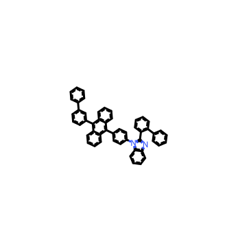 c1ccc(-c2cccc(-c3c4ccccc4c(-c4ccc(-n5c(-c6ccccc6-c6ccccc6)nc6ccccc65)cc4)c4ccccc34)c2)cc1